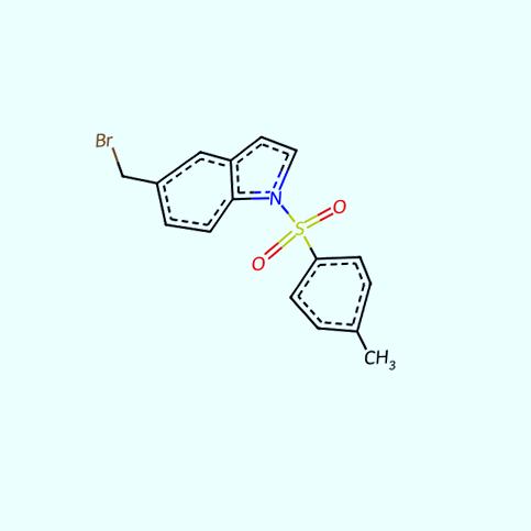 Cc1ccc(S(=O)(=O)n2ccc3cc(CBr)ccc32)cc1